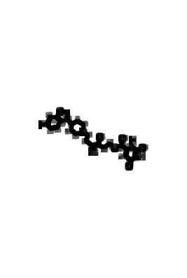 CCN(CCN1CCC(c2noc3cc(F)ccc23)CC1)C(=O)CCOC(=O)c1cc(=O)[nH]c(=O)[nH]1